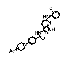 CC(=O)N1CCN(c2ccc(C(=O)Nc3n[nH]c4nc(Nc5ccccc5F)ccc34)cc2)CC1